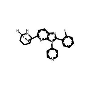 Fc1ccccc1-c1nc2ccc(N3C[C@@H]4CCC3CN4)nc2n1-c1ccncc1